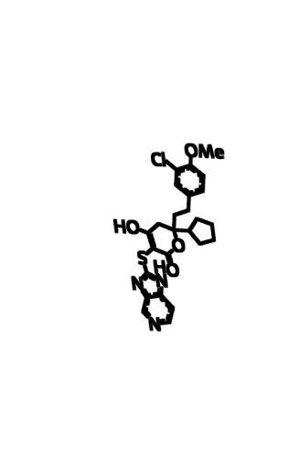 COc1ccc(CCC2(C3CCCC3)CC(O)=C(Sc3nc4cnccc4[nH]3)C(=O)O2)cc1Cl